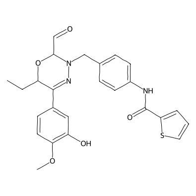 CCC1OC(C=O)N(Cc2ccc(NC(=O)c3cccs3)cc2)N=C1c1ccc(OC)c(O)c1